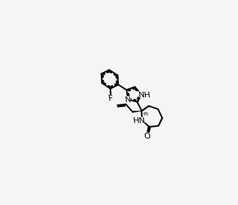 C=CC[C@@]1(c2nc(-c3ccccc3F)c[nH]2)CCCCC(=O)N1